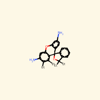 CCc1c(N)cc2c(c1CC)C1(OC(CC)(CC)c3ccccc31)c1ccc(N)cc1O2